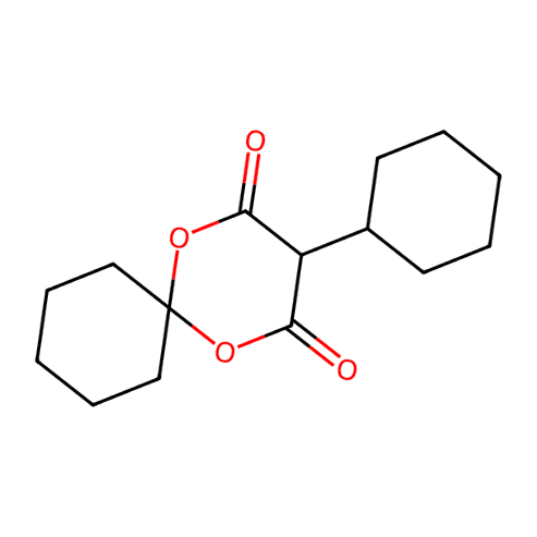 O=C1OC2(CCCCC2)OC(=O)C1C1CCCCC1